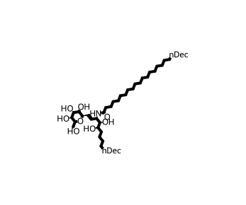 CCCCCCCCCCCCCCCCCCCCCCCCCCCCC(=O)N[C@@H](/C=C/[C@H]1OC(CO)[C@H](O)[C@H](O)C1O)[C@H](O)[C@H](O)CCCCCCCCCCCCCC